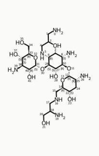 NCC(O)CN[C@@H]1C[C@H](N)[C@@H](O[C@H]2O[C@H](CNCC(N)CO)[C@@H](O)C[C@H]2N)[C@H](O)[C@H]1O[C@H]1O[C@H](CO)[C@@H](O)[C@H](N)[C@H]1O